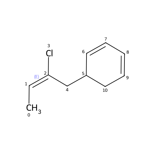 C/C=C(/Cl)CC1C=CC=CC1